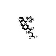 CCC(=O)CNC(=O)C1=CN2C(=Nc3sccc3C2N2NN=NO2)C=C1